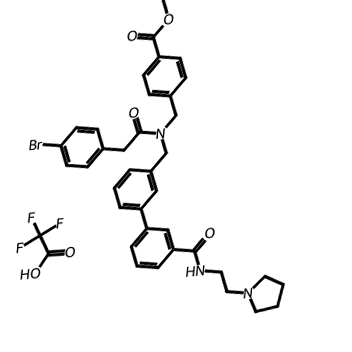 COC(=O)c1ccc(CN(Cc2cccc(-c3cccc(C(=O)NCCN4CCCC4)c3)c2)C(=O)Cc2ccc(Br)cc2)cc1.O=C(O)C(F)(F)F